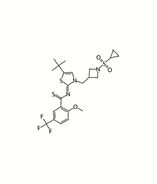 COc1ccc(C(F)(F)F)cc1C(=S)N=c1sc(C(C)(C)C)cn1CC1CN(S(=O)(=O)C2CC2)C1